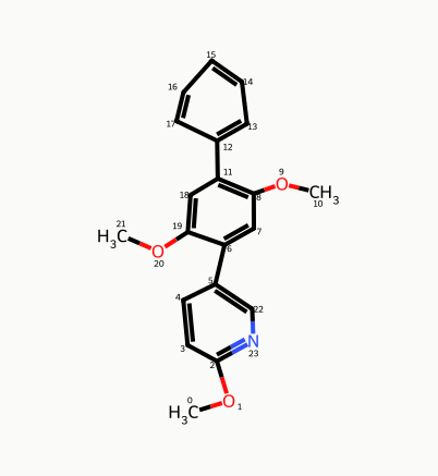 COc1ccc(-c2cc(OC)c(-c3ccccc3)cc2OC)cn1